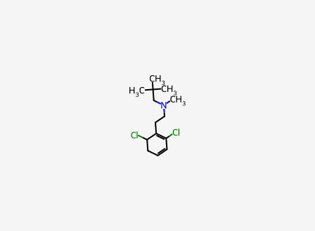 CN(CCC1=C(Cl)C=CCC1Cl)CC(C)(C)C